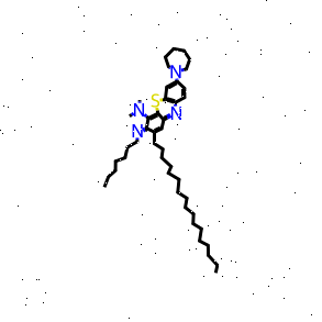 CCCCCCCCCCCCCCCCCc1cc2nc3ccc(N4CCCCCC4)cc3sc-2c(N(C)C)/c1=N/CCCCCCC